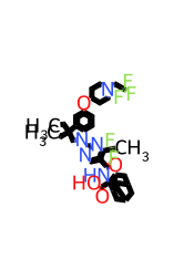 CCC1(CC)CN(c2ncc(C(=O)NC3(C(=O)O)C4CC5CC(C4)CC3C5)c(C(C)(F)F)n2)c2ccc(OC3CCN(CC(F)(F)F)CC3)cc21